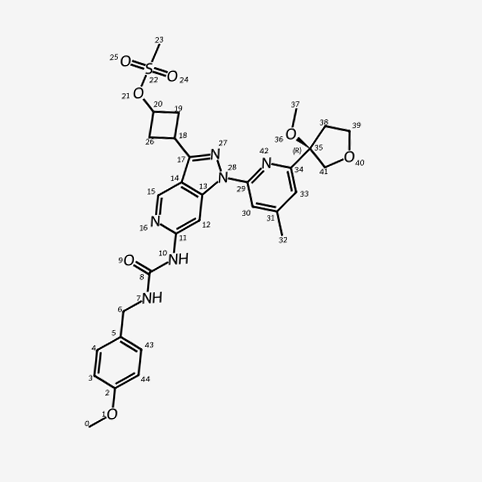 COc1ccc(CNC(=O)Nc2cc3c(cn2)c(C2CC(OS(C)(=O)=O)C2)nn3-c2cc(C)cc([C@]3(OC)CCOC3)n2)cc1